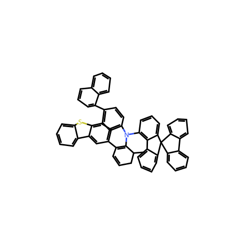 CC1CC=CC(c2ccc3sc4ccccc4c3c2)=C1N(c1ccc(-c2cccc3ccccc23)cc1)c1cccc2c1-c1ccccc1C21c2ccccc2-c2ccccc21